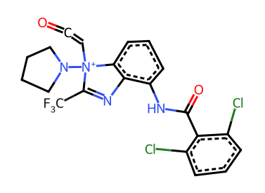 O=C=C[N+]1(N2CCCC2)C(C(F)(F)F)=Nc2c(NC(=O)c3c(Cl)cccc3Cl)cccc21